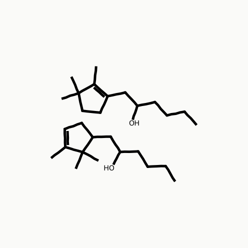 CCCCC(O)CC1=C(C)C(C)(C)CC1.CCCCC(O)CC1CC=C(C)C1(C)C